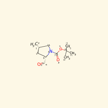 C[C@H]1C[C@@H](C=O)N(C(=O)OC(C)(C)C)C1